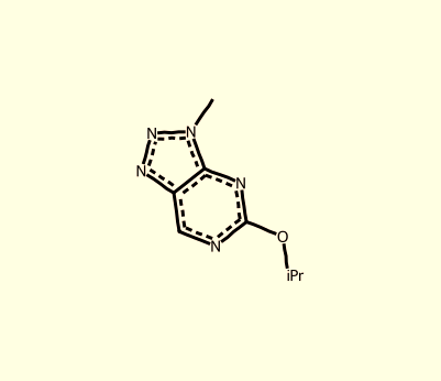 CC(C)Oc1ncc2nnn(C)c2n1